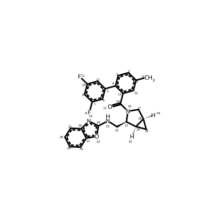 Cc1ccc(-c2cc(F)cc(F)c2)c(C(=O)N2C[C@H]3C[C@H]3[C@H]2CNc2nc3ccccc3o2)c1